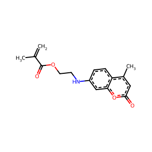 C=C(C)C(=O)OCCNc1ccc2c(C)cc(=O)oc2c1